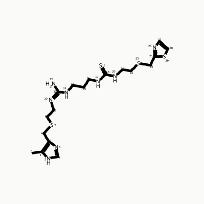 Cc1[nH]cnc1CSCCN=C(N)NCCCNC(=S)NCCSCc1nccs1